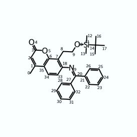 Cc1cc(=O)oc2c(CCO[Si](C)(C)C(C)(C)C)c(N=C(c3ccccc3)c3ccccc3)ccc12